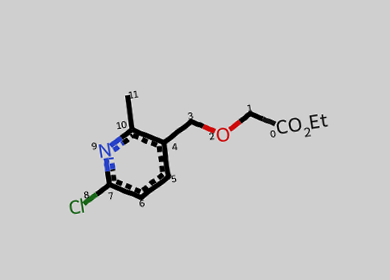 CCOC(=O)COCc1ccc(Cl)nc1C